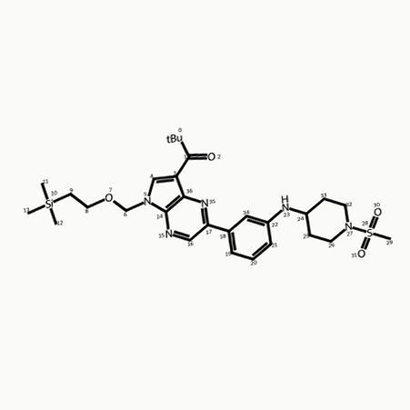 CC(C)(C)C(=O)c1cn(COCC[Si](C)(C)C)c2ncc(-c3cccc(NC4CCN(S(C)(=O)=O)CC4)c3)nc12